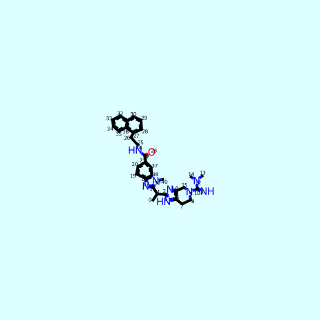 CC(c1nc2c([nH]1)CCN(C(=N)N(C)C)C2)c1nc2ccc(C(=O)NCCc3cccc4ccccc34)cc2n1C